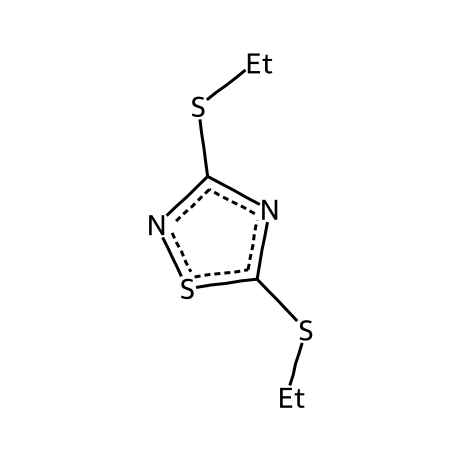 CCSc1nsc(SCC)n1